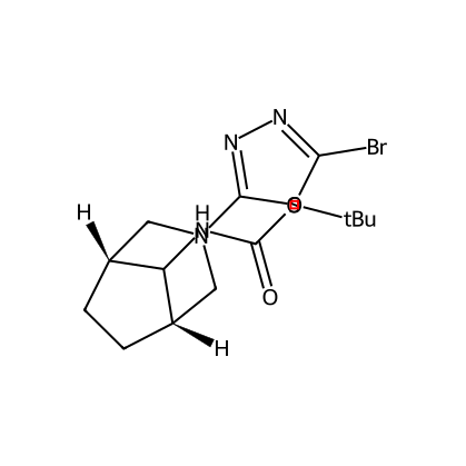 CC(C)(C)OC(=O)NC1[C@@H]2CC[C@H]1CN(c1nnc(Br)s1)C2